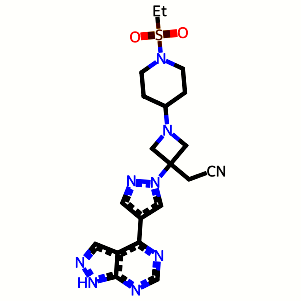 CCS(=O)(=O)N1CCC(N2CC(CC#N)(n3cc(-c4ncnc5[nH]ncc45)cn3)C2)CC1